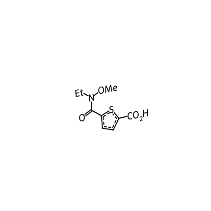 CCN(OC)C(=O)c1ccc(C(=O)O)s1